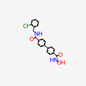 O=C(NO)c1ccc(-c2ccc(C(=O)NCc3ccccc3Cl)cc2)cc1